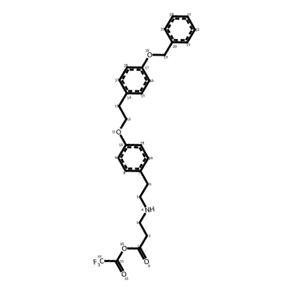 O=C(CCNCCc1ccc(OCCc2ccc(OCc3ccccc3)cc2)cc1)OC(=O)C(F)(F)F